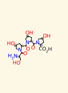 N[C@@H](CO)C(=O)N1C[C@H](O)C[C@H]1C(=O)N1C[C@H](O)C[C@H]1C(=O)N1C[C@H](O)C[C@H]1C(=O)O